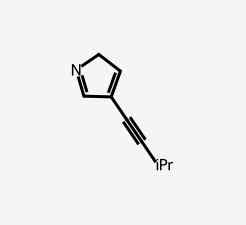 CC(C)C#CC1=CCN=C1